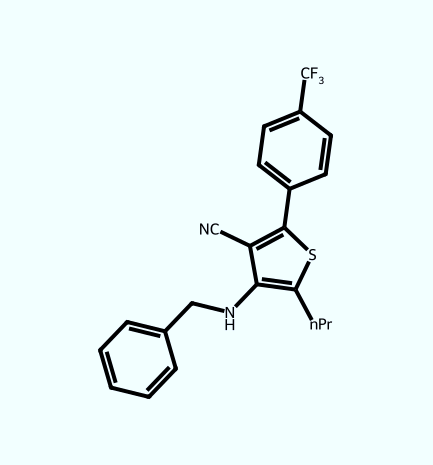 CCCc1sc(-c2ccc(C(F)(F)F)cc2)c(C#N)c1NCc1ccccc1